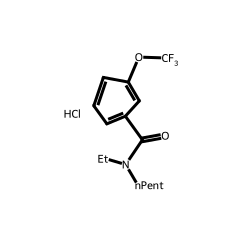 CCCCCN(CC)C(=O)c1cccc(OC(F)(F)F)c1.Cl